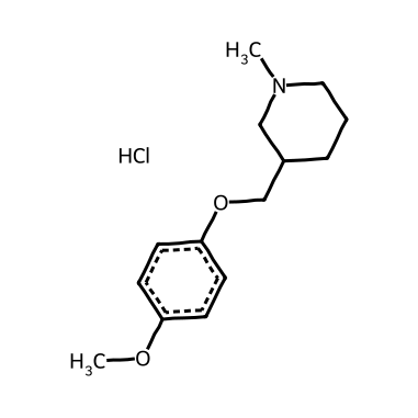 COc1ccc(OCC2CCCN(C)C2)cc1.Cl